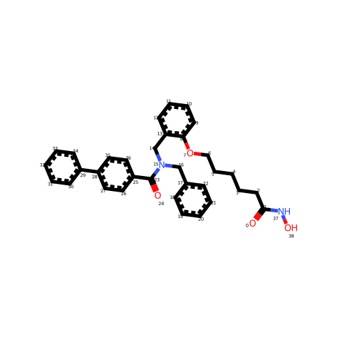 O=C(CCCCCOc1ccccc1CN(Cc1ccccc1)C(=O)c1ccc(-c2ccccc2)cc1)NO